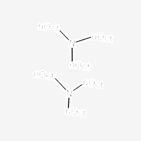 CCCCCCCCN(CCCCCCCC)CCCCCCCC.CCCCCCCCN(CCCCCCCC)CCCCCCCC